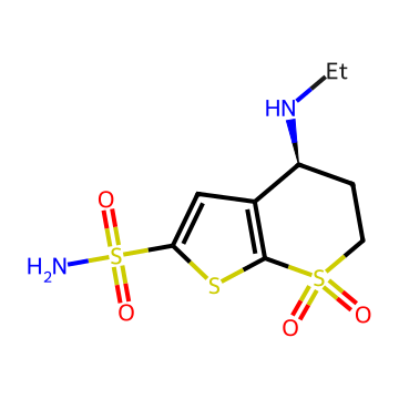 CCN[C@H]1CCS(=O)(=O)c2sc(S(N)(=O)=O)cc21